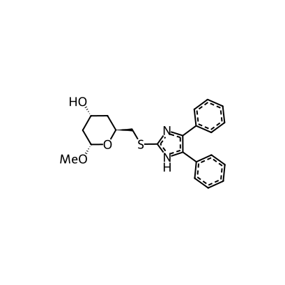 CO[C@@H]1C[C@H](O)C[C@@H](CSc2nc(-c3ccccc3)c(-c3ccccc3)[nH]2)O1